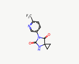 O=C1NC2(CC2)C(=O)N1c1ccc(C(F)(F)F)nc1